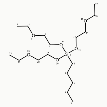 CCCCC[Si](OCCOCC)(OCCOCC)OCCOCC